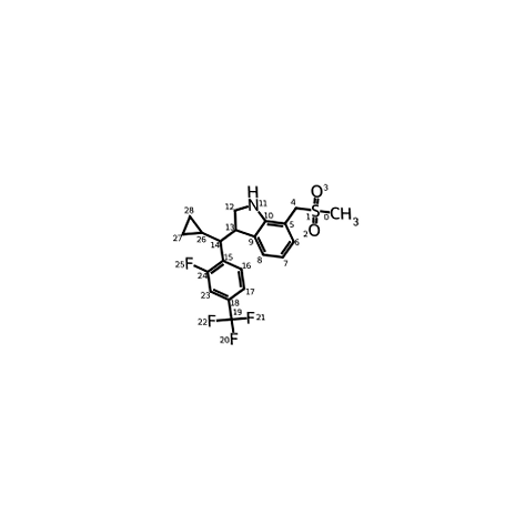 CS(=O)(=O)Cc1cccc2c1NCC2C(c1ccc(C(F)(F)F)cc1F)C1CC1